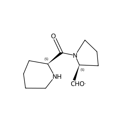 O=[C][C@@H]1CCCN1C(=O)[C@@H]1CCCCN1